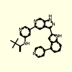 C=C(Nc1cncc(-c2cc3c(-c4cc5c(-c6ccncc6)cccc5[nH]4)n[nH]c3cn2)c1)C(C)(C)C